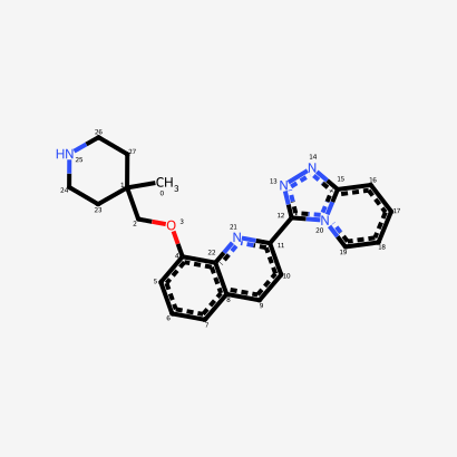 CC1(COc2cccc3ccc(-c4nnc5ccccn45)nc23)CCNCC1